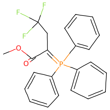 COC(=O)C(CC(F)(F)F)=P(c1ccccc1)(c1ccccc1)c1ccccc1